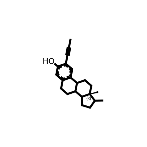 CC#Cc1cc2c(cc1O)CCC1C2CC[C@]2(C)C(C)CCC12